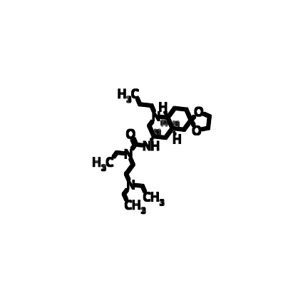 CCCN1C[C@@H](NC(=O)N(CC)CCN(CC)CC)C[C@@H]2CC3(CC[C@H]21)OCCO3